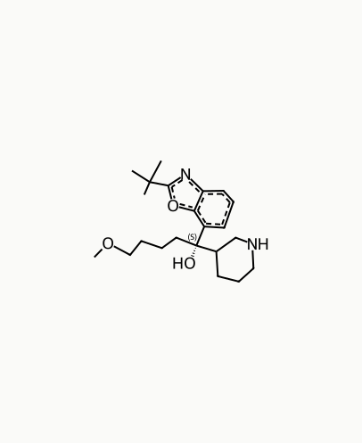 COCCCC[C@@](O)(c1cccc2nc(C(C)(C)C)oc12)C1CCCNC1